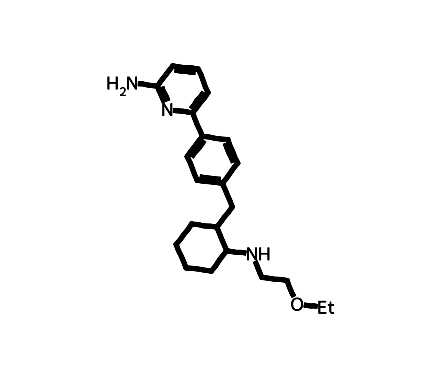 CCOCCNC1CCCCC1Cc1ccc(-c2cccc(N)n2)cc1